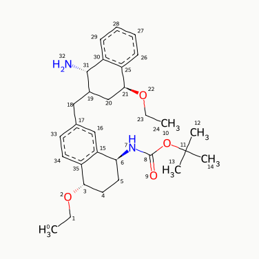 CCO[C@H]1CC[C@H](NC(=O)OC(C)(C)C)c2cc(CC3C[C@H](OCC)c4ccccc4[C@H]3N)ccc21